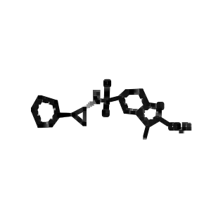 CCOC(=O)c1oc2ccc(S(=O)(=O)N[C@@H]3C[C@H]3c3ccccc3)cc2c1C